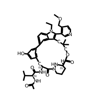 CCn1c(-c2cnccc2COC)c2c3cc(ccc31)-c1cc(O)cc(c1)C[C@H](NC(=O)[C@@H](NC(C)=O)C(C)C)C(=O)N1CCC[C@H](N1)C(=O)OCC(C)(C)C2